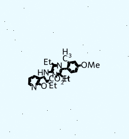 CCc1nc(-c2ccc(OC)cc2C)c(CC)nc1N[C@H]1c2cccnc2O[C@]1(CC)C(=O)O